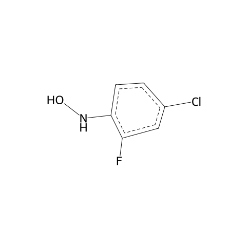 ONc1ccc(Cl)cc1F